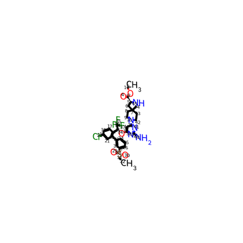 CCOC(=O)[C@@H]1CC2(CCN(c3cc(O[C@H](c4ccc(Cl)cc4-c4cccc(S(=O)(=O)CC)c4)C(F)(F)F)nc(N)n3)CC2)CN1